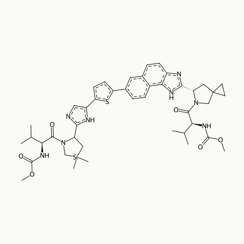 COC(=O)N[C@H](C(=O)N1C[Si](C)(C)CC1c1ncc(-c2ccc(-c3ccc4c(ccc5nc([C@@H]6CC7(CC7)CN6C(=O)[C@@H](NC(=O)OC)C(C)C)[nH]c54)c3)s2)[nH]1)C(C)C